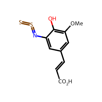 COc1cc(/C=C/C(=O)O)cc(N=S=S)c1O